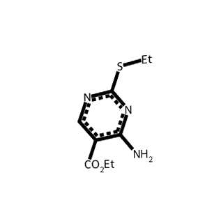 CCOC(=O)c1cnc(SCC)nc1N